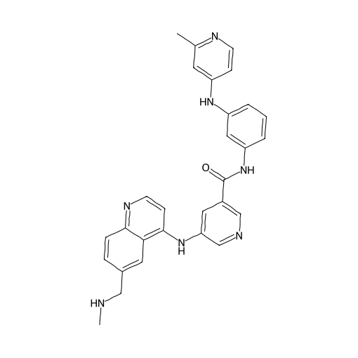 CNCc1ccc2nccc(Nc3cncc(C(=O)Nc4cccc(Nc5ccnc(C)c5)c4)c3)c2c1